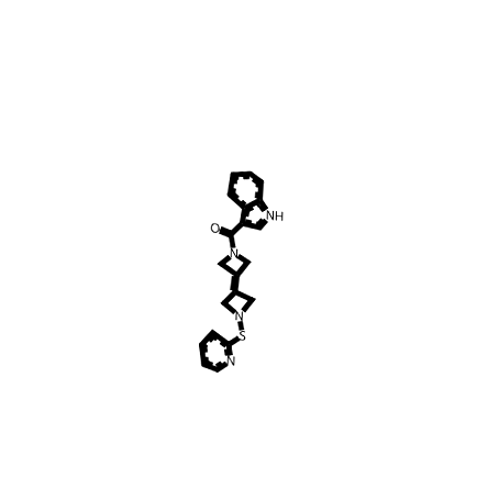 O=C(c1c[nH]c2ccccc12)N1CC(=C2CN(Sc3ccccn3)C2)C1